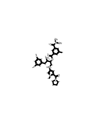 CCCN(CCC)C(=O)c1cc(C)cc(C(=O)OC(CNc2cc(C(=O)N3CCCC3)n(C)c2)C(N)Cc2cc(F)cc(F)c2)c1